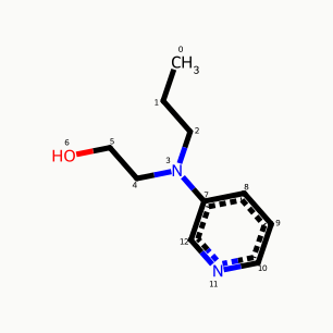 CCCN(CCO)c1cccnc1